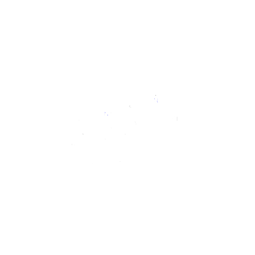 CC1CC(Cc2nccc3cccc(O)c23)CCN1C